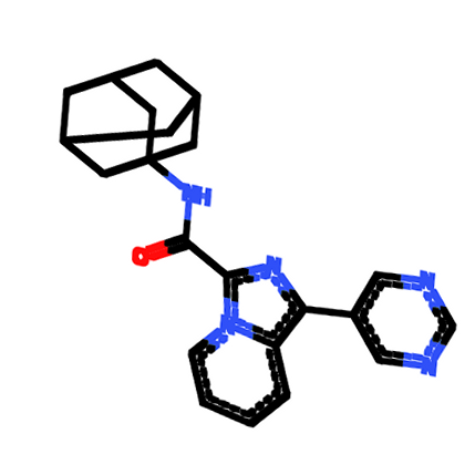 O=C(NC12CC3CC(CC(C3)C1)C2)c1nc(-c2cncnc2)c2ccccn12